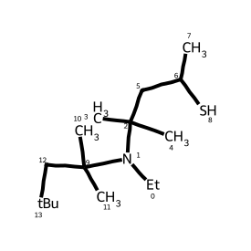 CCN(C(C)(C)CC(C)S)C(C)(C)CC(C)(C)C